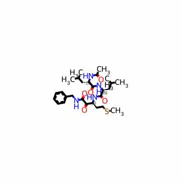 CSCC[C@H](NC(=O)[C@H](CC(C)C)NC(=O)[C@H](CC(C)C)NC(C)=O)C(=O)C(=O)NCc1ccccc1